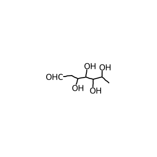 CC(O)C(O)C(O)C(O)CC=O